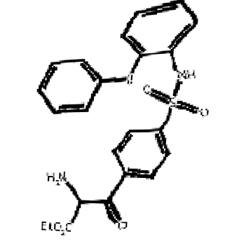 CCOC(=O)C(N)C(=O)c1ccc(S(=O)(=O)Nc2ccccc2Oc2ccccc2)cc1